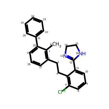 Cc1c(CCc2c(Cl)cccc2C2=NCCN2)cccc1-c1ccccc1